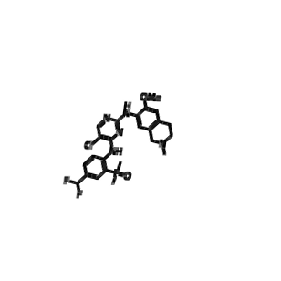 COc1cc2c(cc1Nc1ncc(Cl)c(Nc3ccc(C(F)F)cc3P(C)(C)=O)n1)CN(C)CC2